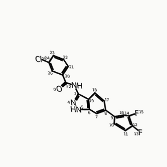 O=C(Nc1n[nH]c2cc(-c3ccc(F)c(F)c3)ccc12)c1cccc(Cl)c1